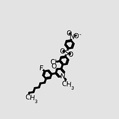 CCCCCCCc1cc(F)cc(-c2cn(CC)cc(-c3ccc(S(=O)(=O)c4ccc([N+](=O)[O-])cc4)cc3Cl)c2=O)c1